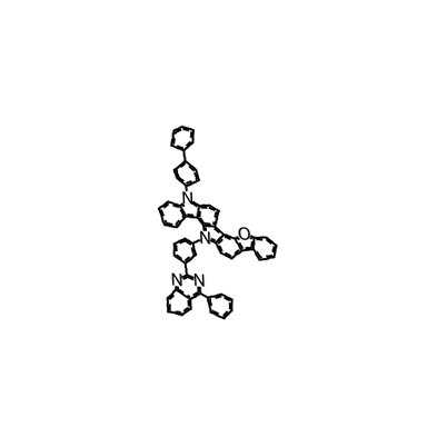 c1ccc(-c2ccc(-n3c4ccccc4c4c3ccc3c5c6oc7ccccc7c6ccc5n(-c5cccc(-c6nc(-c7ccccc7)c7ccccc7n6)c5)c34)cc2)cc1